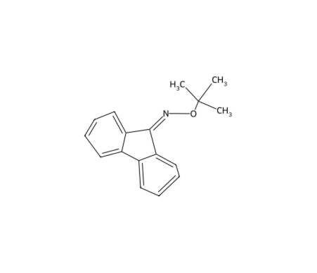 CC(C)(C)ON=C1c2ccccc2-c2ccccc21